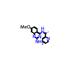 COc1ccc2c(N[C@H](C)c3ccccn3)nc(N)nc2c1